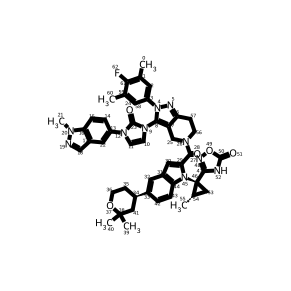 Cc1cc(-n2nc3c(c2-n2ccn(-c4ccc5c(cnn5C)c4)c2=O)CN(C(=O)c2cc4cc([C@@H]5CCOC(C)(C)C5)ccc4n2[C@@]2(c4noc(=O)[nH]4)C[C@@H]2C)CC3)cc(C)c1F